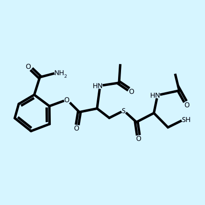 CC(=O)NC(CSC(=O)C(CS)NC(C)=O)C(=O)Oc1ccccc1C(N)=O